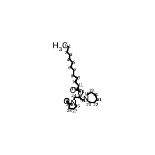 CCCCCCCCCCCCC(=O)OC(CN1CCCCCC1)CN1CCCC1=O